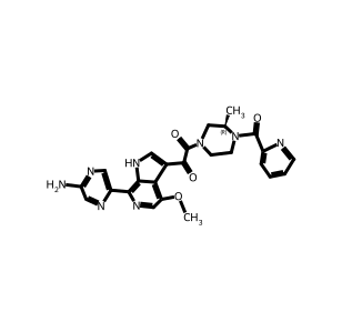 COc1cnc(-c2cnc(N)cn2)c2[nH]cc(C(=O)C(=O)N3CCN(C(=O)c4ccccn4)[C@H](C)C3)c12